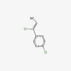 N#CC=C(Cl)c1ccc(Cl)cc1